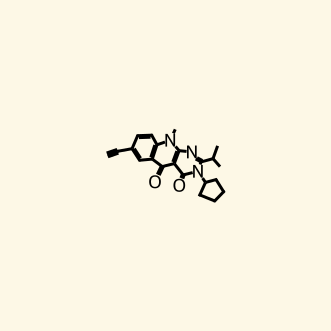 C#Cc1ccc2c(c1)c(=O)c1c(=O)n(C3CCCC3)c(C(C)C)nc1n2C